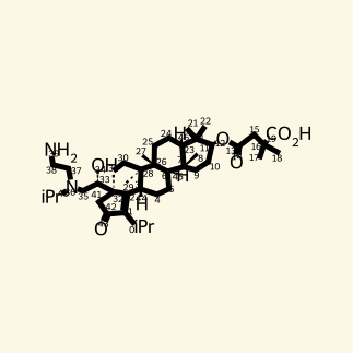 CC(C)C1=C2[C@H]3CC[C@@H]4[C@@]5(C)CC[C@H](OC(=O)CC(C)(C)C(=O)O)C(C)(C)[C@@H]5CC[C@@]4(C)[C@]3(C)CC[C@@]2([C@@H](O)CN(CCN)C(C)C)CC1=O